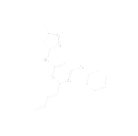 C/C=C\C=C(/C)c1nc(Nc2cc(C)[nH]n2)cc(NC2CCOCC2)n1